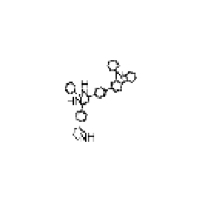 C1=CC(c2ccc(C3=CC(c4ccc(-c5ccc6c7ccccc7n(-c7ccccc7)c6c5)cc4)NC(c4ccccc4)N3)cc2)=CNC1